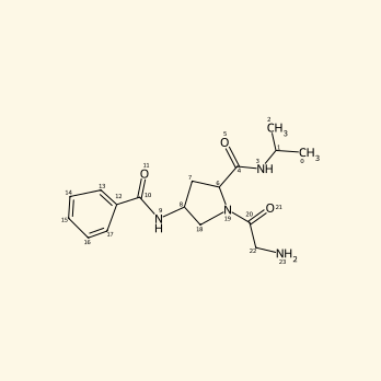 CC(C)NC(=O)C1CC(NC(=O)c2ccccc2)CN1C(=O)CN